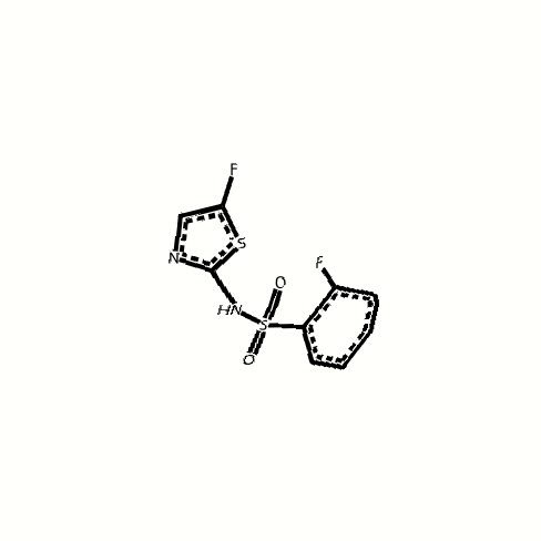 O=S(=O)(Nc1ncc(F)s1)c1ccccc1F